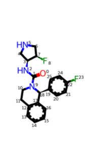 O=C(N[C@H]1CNC[C@H]1F)N1CCc2ccccc2[C@@H]1c1ccc(F)cc1